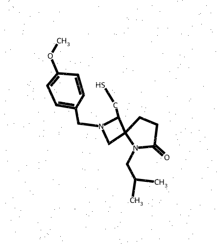 COc1ccc(CN2CC3(CCC(=O)N3CC(C)C)C2CS)cc1